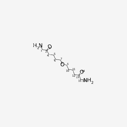 NCC(=O)CCCCOCCCCC(=O)CN